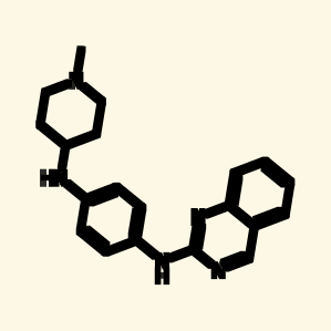 CN1CCC(Nc2ccc(Nc3ncc4ccccc4n3)cc2)CC1